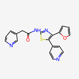 O=C(Cc1cccnc1)Nc1nc(-c2ccco2)c(-c2ccncc2)s1